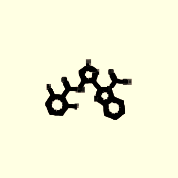 O=C(Nc1c[nH]nc1-c1nc2ccccc2n1C(=O)O)c1c(F)cccc1F